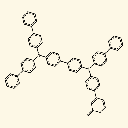 C=C1C=C(c2ccc(N(c3ccc(-c4ccccc4)cc3)c3ccc(-c4ccc(N(c5ccc(-c6ccccc6)cc5)c5ccc(-c6ccccc6)cc5)cc4)cc3)cc2)C=CC1